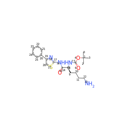 CC(C)(C)OC(=O)N[C@@H](CCCCN)C(=O)Nc1nc(-c2ccccc2)cs1